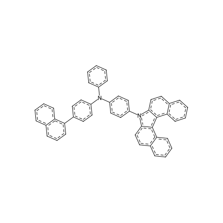 c1ccc(N(c2ccc(-c3cccc4ccccc34)cc2)c2ccc(-n3c4ccc5ccccc5c4c4c5ccccc5ccc43)cc2)cc1